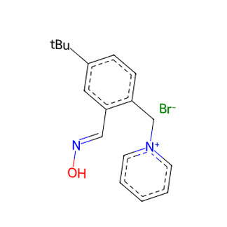 CC(C)(C)c1ccc(C[n+]2ccccc2)c(C=NO)c1.[Br-]